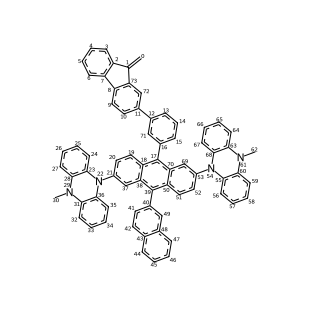 C=C1c2ccccc2-c2ccc(-c3cccc(-c4c5ccc(N6c7ccccc7N(C)c7ccccc76)cc5c(-c5ccc6ccccc6c5)c5ccc(N6c7ccccc7N(C)c7ccccc76)cc45)c3)cc21